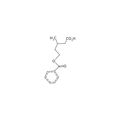 CC(CCOC(=O)c1ccccc1)CC(=O)O